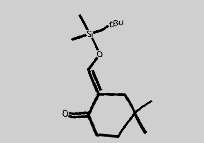 CC1(C)CCC(=O)C(=CO[Si](C)(C)C(C)(C)C)C1